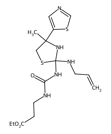 C=CCNC1(NC(=O)NCCC(=O)OCC)NC(C)(c2cncs2)CS1